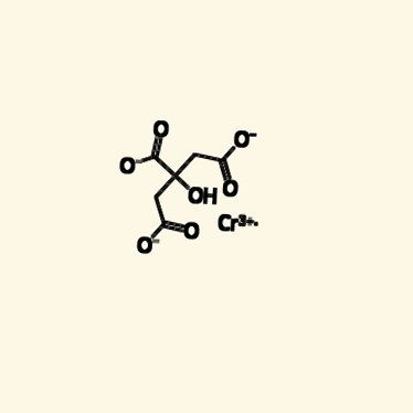 O=C([O-])CC(O)(CC(=O)[O-])C(=O)[O-].[Cr+3]